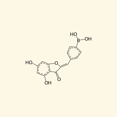 O=C1/C(=C/c2ccc(B(O)O)cc2)Oc2cc(O)cc(O)c21